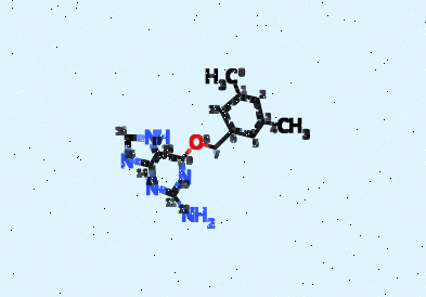 Cc1cc(C)cc(COc2nc(N)nc3nc[nH]c23)c1